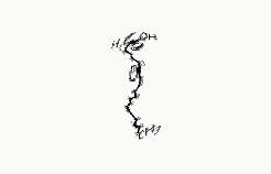 CCCCCCCCCCCC(=O)CCCCC(C)C(=O)O